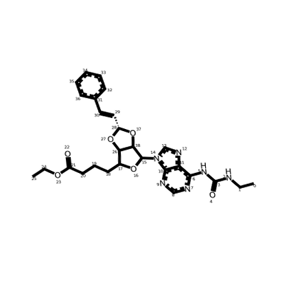 CCNC(=O)Nc1ncnc2c1ncn2C1OC(CCCC(=O)OCC)C2O[C@H](/C=C/c3ccccc3)OC21